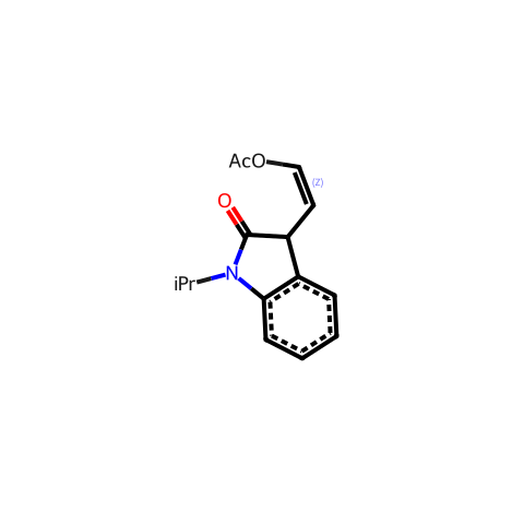 CC(=O)O/C=C\C1C(=O)N(C(C)C)c2ccccc21